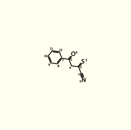 N#CC(=S)CC(=O)c1ccccc1